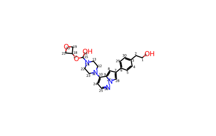 OCCc1ccc(-c2cc3c(N4CCN(C(O)OC5COC5)CC4)ccnn3c2)cc1